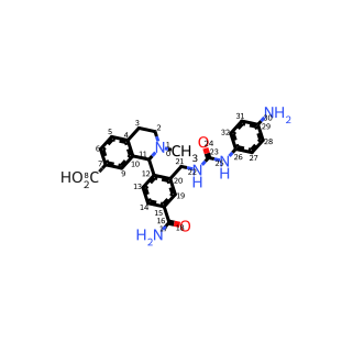 CN1CCc2ccc(C(=O)O)cc2C1c1ccc(C(N)=O)cc1CNC(=O)Nc1ccc(N)cc1